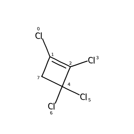 ClC1=C(Cl)C(Cl)(Cl)C1